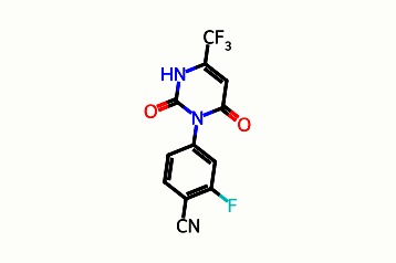 N#Cc1ccc(-n2c(=O)cc(C(F)(F)F)[nH]c2=O)cc1F